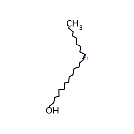 CCCCCCCC/C=C\CCCCCCCCCCCCCO